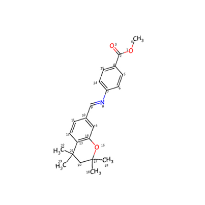 COC(=O)c1ccc(N=Cc2ccc3c(c2)OC(C)(C)CC3(C)C)cc1